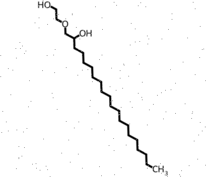 CCCCCCCCCCCCCCCCCCC(O)COCCO